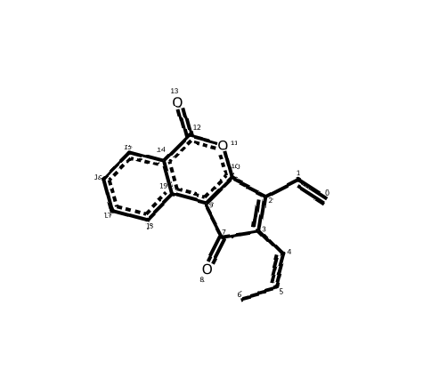 C=CC1=C(/C=C\C)C(=O)c2c1oc(=O)c1ccccc21